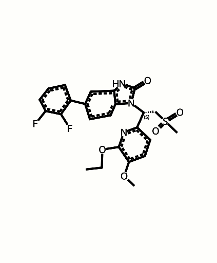 CCOc1nc([C@@H](CS(C)(=O)=O)n2c(=O)[nH]c3cc(-c4cccc(F)c4F)ccc32)ccc1OC